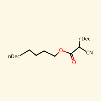 CCCCCCCCCCCCCCOC(=O)C(C#N)CCCCCCCCCC